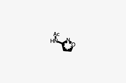 [CH2]C(=O)Nc1ccon1